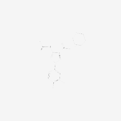 NC(=O)Nc1cn(-c2ccc(C(F)(F)F)c(F)c2)cc1C(=O)N[C@H]1CCCNC1